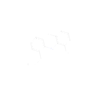 CCc1cccc(CC)c1Nc1ccccc1CC(=O)O